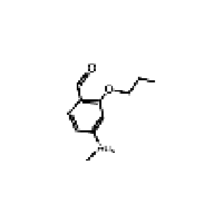 CCCOc1c[c]([Au]([CH3])[CH3])ccc1C=O